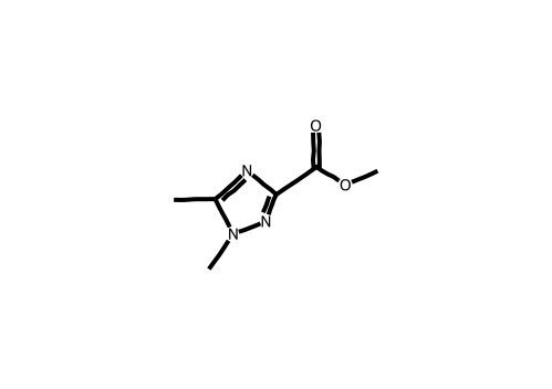 COC(=O)c1nc(C)n(C)n1